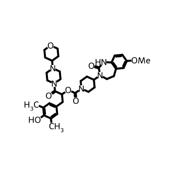 COc1ccc2c(c1)CCN(C1CCN(C(=O)OC(Cc3cc(C)c(O)c(C)c3)C(=O)N3CCN(C4CCOCC4)CC3)CC1)C(=O)N2